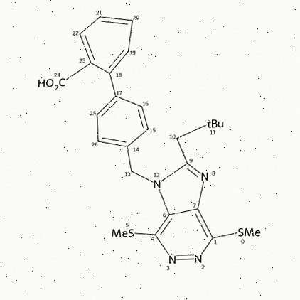 CSc1nnc(SC)c2c1nc(CC(C)(C)C)n2Cc1ccc(-c2ccccc2C(=O)O)cc1